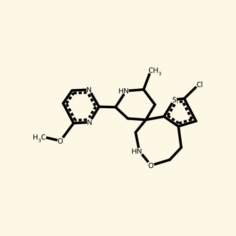 COc1ccnc(C2CC3(CNOCCc4cc(Cl)sc43)CC(C)N2)n1